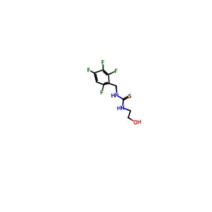 OCCNC(=S)NCc1c(F)cc(F)c(F)c1F